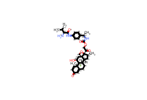 CC(C)[C@H](N)C(=O)Nc1ccc([C@H](C)NC(=O)OCC(=O)[C@]23OC[C@@]24C[C@H](O)[C@@]2(F)[C@@H](CCC5=CC(=O)C=C[C@@]52C)[C@@H]4C[C@H]3C)cc1